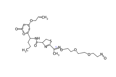 C=CCOc1cc(C(CCC)NC(=O)C2CSC(/C(C)=N/OCCOCCOCCN=O)=N2)oc(=O)c1